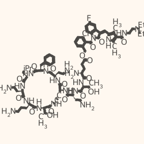 CCN(CC)CCNC(=O)c1c(C)[nH]c(/C=C2\C(=O)N(C(=O)c3c(C)cccc3COC(=O)CC[C@@H](N)C(=O)N[C@H](C(=O)N[C@H](CCN)C(=O)N[C@H]3CCNC(=O)[C@@H]([C@@H](C)O)NC(=O)[C@@H](CCCN)NC(=O)[C@@H](CCN)NC(=O)[C@@H](CC(C)C)NC(=O)[C@@H](Cc4ccccc4)NC(=O)[C@@H](CCN)NC3=O)[C@@H](C)O)c3ccc(F)cc32)c1C